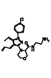 C=C/C=c1/c(N2CCOCC2C(=O)NCCN)nn(-c2ccc(Cl)cc2)/c1=C/C